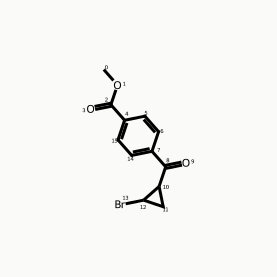 COC(=O)c1ccc(C(=O)C2CC2Br)cc1